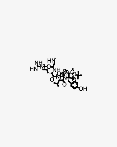 CNCC(=O)N[C@@H](CCCNC(=N)N)C(=O)N[C@H](C(=O)N([N+](=O)[O-])[C@@](Cc1ccc(O)cc1)(C(=O)OC)C(=O)OC(C)(C)C)C(C)C